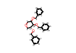 c1ccc(COC2COC[C@@H](OCc3ccccc3)C2OCc2ccccc2)cc1